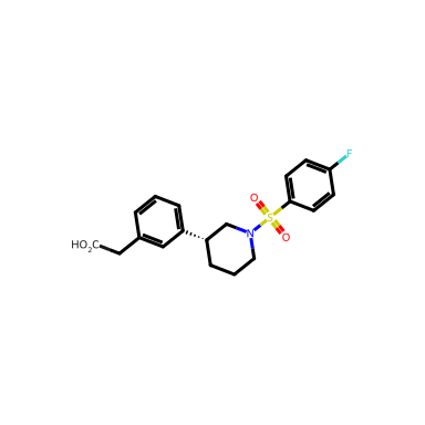 O=C(O)Cc1cccc([C@H]2CCCN(S(=O)(=O)c3ccc(F)cc3)C2)c1